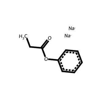 CCC(=O)Oc1ccccc1.[Na].[Na]